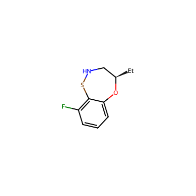 CC[C@@H]1CNSc2c(F)cccc2O1